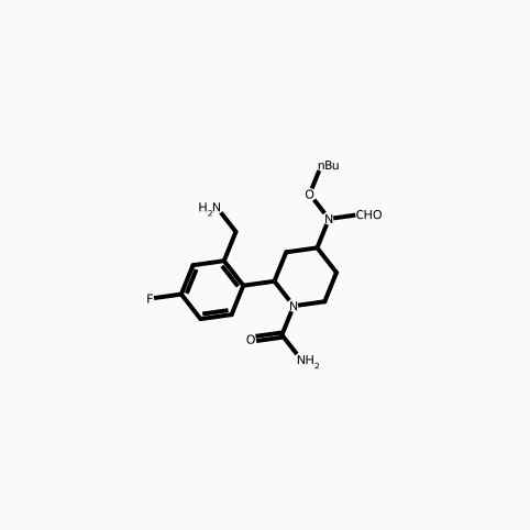 CCCCON(C=O)C1CCN(C(N)=O)C(c2ccc(F)cc2CN)C1